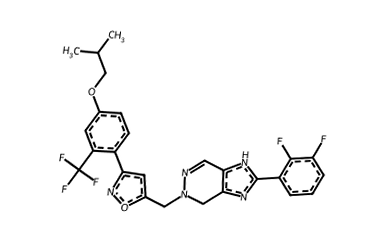 CC(C)COc1ccc(-c2cc(CN3Cc4nc(-c5cccc(F)c5F)[nH]c4C=N3)on2)c(C(F)(F)F)c1